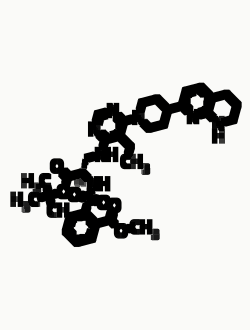 CCc1c(NC[C@H](NS(=O)(=O)c2ccccc2C(=O)OC)C(=O)OC(C)(C)C)ncnc1N1CCC(c2ccc3c(n2)NCCC3)CC1